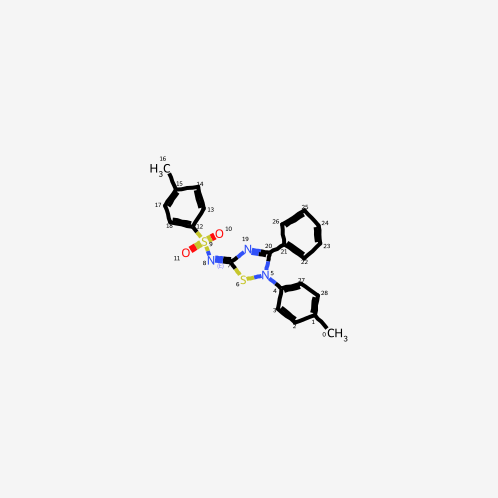 Cc1ccc(-n2s/c(=N/S(=O)(=O)c3ccc(C)cc3)nc2-c2ccccc2)cc1